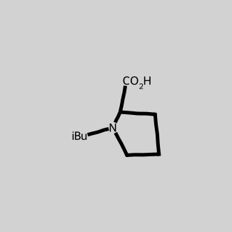 CCC(C)N1CCCC1C(=O)O